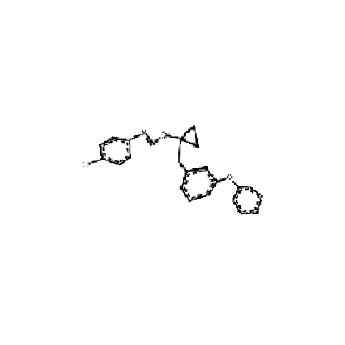 Clc1ccc(/N=C/OC2(Cc3cccc(Oc4ccccc4)c3)CC2)cc1